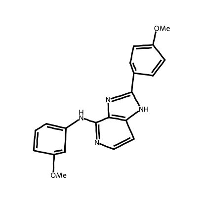 COc1ccc(-c2nc3c(Nc4cccc(OC)c4)nccc3[nH]2)cc1